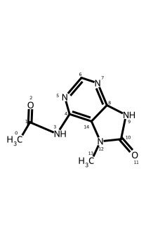 CC(=O)Nc1ncnc2[nH]c(=O)n(C)c12